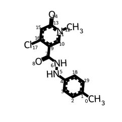 Cc1ccc(NNC(=O)c2cn(C)c(=O)cc2Cl)cc1